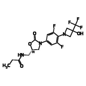 CCC(=O)NC[C@H]1CN(c2cc(F)c(N3CC(O)(C(F)(F)F)C3)c(F)c2)C(=O)O1